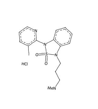 CNCCCN1c2ccccc2N(c2ncccc2C)S1(=O)=O.Cl